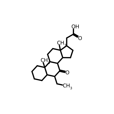 CCC1C(=O)C2C3CCC(CC(=O)O)C3(C)CCC2C2(C)CCCCC12